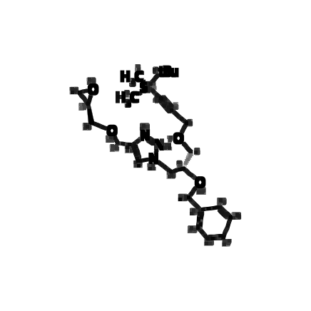 CC(C)(C)[Si](C)(C)C#CCOC[C@@H](Cn1cc(COC[C@H]2CO2)nn1)OCc1ccccc1